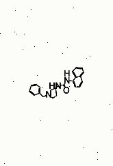 O=C(Nc1cccc2ccccc12)NC1CCN(Cc2ccccc2)C1